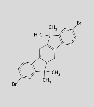 CC1(C)C2=C(CC3C(=C2)c2ccc(Br)cc2C3(C)C)c2ccc(Br)cc21